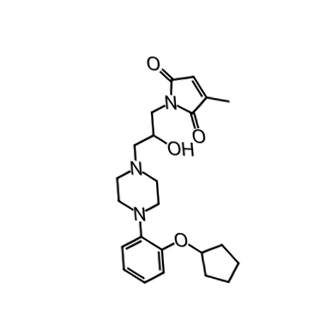 CC1=CC(=O)N(CC(O)CN2CCN(c3ccccc3OC3CCCC3)CC2)C1=O